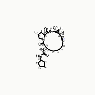 C[C@@H]1C[C@H]2C(=O)N[C@]3(C(=O)O)C[C@H]3/C=C\CCCCC[C@H](NC(=O)NC3CCCC3)C(=O)N2C1